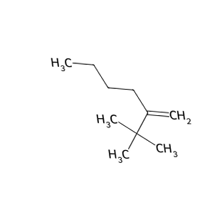 C=C(CCCC)C(C)(C)C